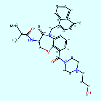 CNC(C)C(=O)NC1COc2c(C(=O)N3CCN(CCCO)CC3)cccc2N(Cc2ccc(Br)c3ccccc23)C1=O